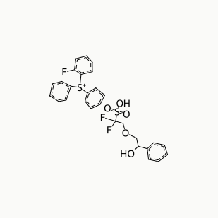 Fc1ccccc1[S+](c1ccccc1)c1ccccc1.O=S(=O)(O)C(F)(F)COCC(O)c1ccccc1